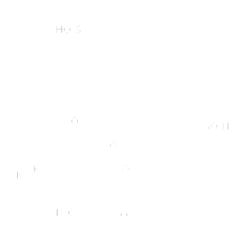 C=C(CC(=O)OCCCS(=O)(=O)O)C(=O)OCCCS(=O)(=O)O.[K].[K]